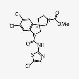 COC(=O)N1CC[C@@]2(C1)CN(C(=O)Nc1ncc(Cl)s1)c1cc(Cl)c(Cl)cc12